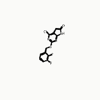 O=C1Cc2c(Cl)nc(SCc3cccc(F)c3F)nc2N1